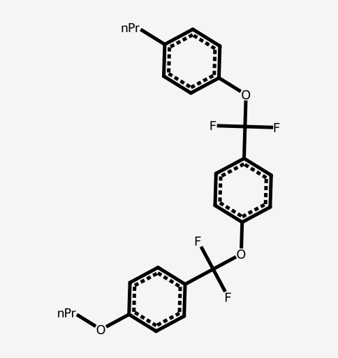 CCCOc1ccc(C(F)(F)Oc2ccc(C(F)(F)Oc3ccc(CCC)cc3)cc2)cc1